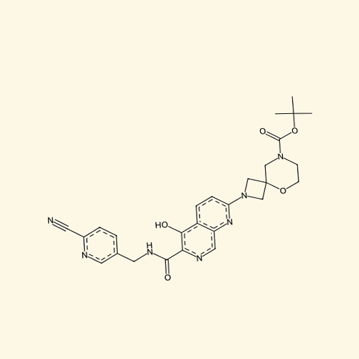 CC(C)(C)OC(=O)N1CCOC2(C1)CN(c1ccc3c(O)c(C(=O)NCc4ccc(C#N)nc4)ncc3n1)C2